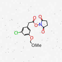 COCOc1cc(Cl)cc(CC(=O)ON2C(=O)CCC2=O)c1